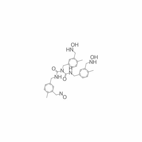 Cc1ccc(CNC(=O)N(Cc2ccc(C)c(CNO)c2)C(=O)NCc2ccc(C)c(CNO)c2)cc1CN=O